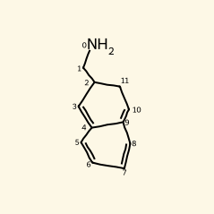 NCC1C=c2ccccc2=CC1